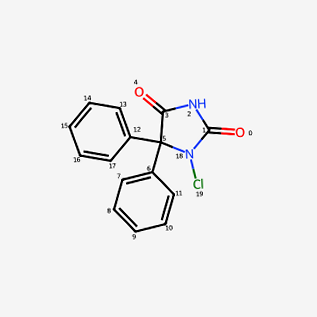 O=C1NC(=O)C(c2ccccc2)(c2ccccc2)N1Cl